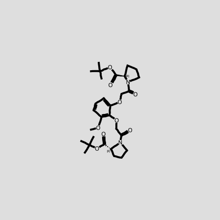 COc1cccc(OCC(=O)N2CCC[C@@H]2C(=O)OC(C)(C)C)c1OCC(=O)N1CCC[C@@H]1C(=O)OC(C)(C)C